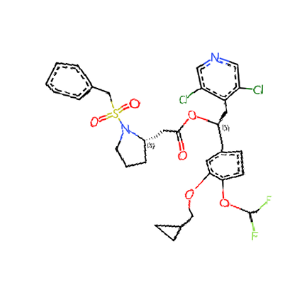 O=C(C[C@@H]1CCCN1S(=O)(=O)Cc1ccccc1)O[C@@H](Cc1c(Cl)cncc1Cl)c1ccc(OC(F)F)c(OCC2CC2)c1